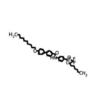 CCCCCCCCCCOc1ccc(-c2ccc(C(=O)Nc3ccc(C(=O)OC(CCCCCC)C(F)(F)F)cc3)cc2)cc1